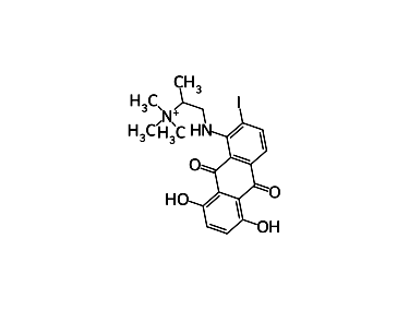 CC(CNc1c(I)ccc2c1C(=O)c1c(O)ccc(O)c1C2=O)[N+](C)(C)C